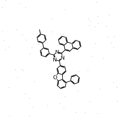 Cc1ccc(-c2cccc(-c3nc(-c4ccc5c(c4)oc4cccc(-c6ccccc6)c45)nc(-c4cc5ccccc5c5ccccc45)n3)c2)cc1